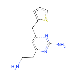 NCCc1cc(Cc2cccs2)nc(N)n1